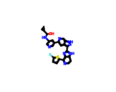 OC(Nc1cncc(-c2cc3c(-c4nc5c(-c6ccc(F)s6)nccc5[nH]4)n[nH]c3cn2)c1)C1CC1